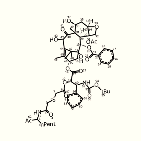 CCCCCC(NC(=O)CSCC(=O)O[C@@H](C(=O)O[C@H]1C[C@@]2(O)[C@@H](OC(=O)c3ccccc3)[C@@H]3[C@]4(OC(C)=O)CO[C@@H]4C[C@H](O)[C@@]3(C)C(=O)[C@H](O)C(=C1C)C2(C)C)[C@@H](NC(=O)OC(C)(C)C)c1ccccc1)C(C)=O